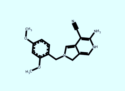 COc1ccc(CN2C=C3C(=CNC(N)=C3C#N)C2)c(OC)c1